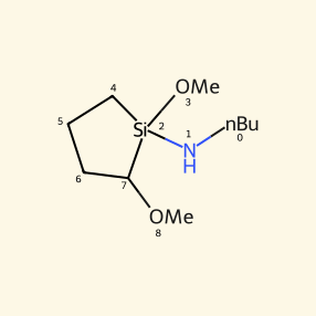 CCCCN[Si]1(OC)CCCC1OC